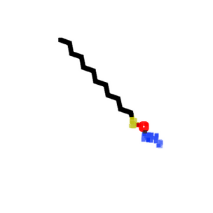 CCCCCCCCCCCCSON